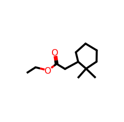 CCOC(=O)CC1CCCCC1(C)C